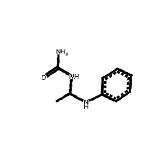 CC(NC(N)=O)Nc1ccccc1